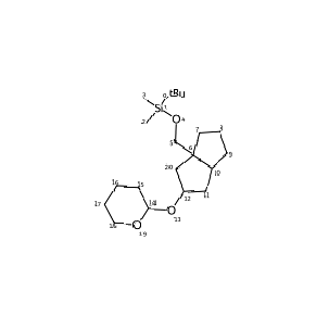 CC(C)(C)[Si](C)(C)OCC12CCCC1CC(OC1CCCCO1)C2